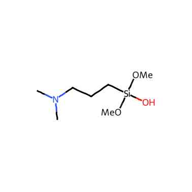 CO[Si](O)(CCCN(C)C)OC